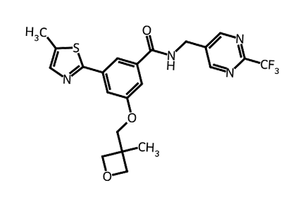 Cc1cnc(-c2cc(OCC3(C)COC3)cc(C(=O)NCc3cnc(C(F)(F)F)nc3)c2)s1